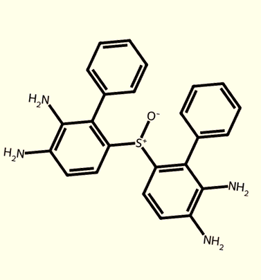 Nc1ccc([S+]([O-])c2ccc(N)c(N)c2-c2ccccc2)c(-c2ccccc2)c1N